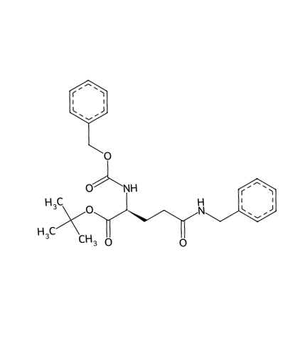 CC(C)(C)OC(=O)[C@H](CCC(=O)NCc1ccccc1)NC(=O)OCc1ccccc1